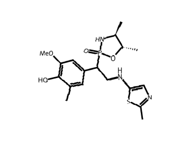 COc1cc(C(CNc2cnc(C)s2)P2(=O)N[C@@H](C)[C@H](C)O2)cc(C)c1O